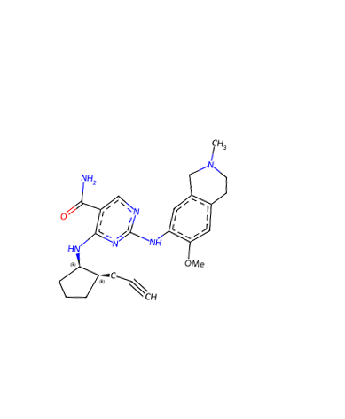 C#CC[C@H]1CCC[C@H]1Nc1nc(Nc2cc3c(cc2OC)CCN(C)C3)ncc1C(N)=O